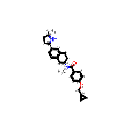 C[C@H]1CC[C@H](c2ccc3c(c2)CC[C@H](N(C)C(=O)c2ccc(OCC4CC4)cc2)C3)N1